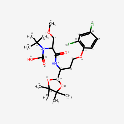 COCC(C(=O)NC(CCOc1ccc(Cl)cc1F)B1OC(C)(C)C(C)(C)O1)N(C(=O)O)C(C)(C)C